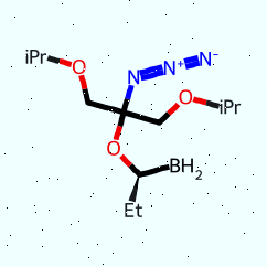 B[C@@H](CC)OC(COC(C)C)(COC(C)C)N=[N+]=[N-]